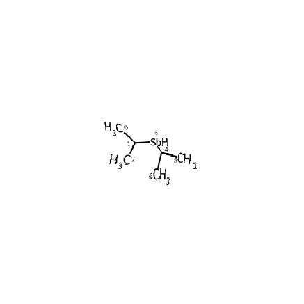 C[CH](C)[SbH][CH](C)C